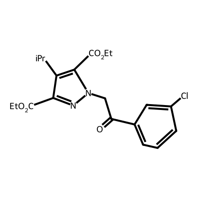 CCOC(=O)c1nn(CC(=O)c2cccc(Cl)c2)c(C(=O)OCC)c1C(C)C